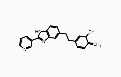 C=C1C=CC(CCc2ccc3[nH]c(-c4cccnc4)nc3c2)=CC1C